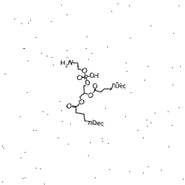 CCCCCCCCCCCCCC(=O)OCC(COP(=O)(O)OCCN)OC(=O)CCCCCCCCCCCCC